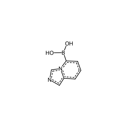 OB(O)c1cccc2cncn12